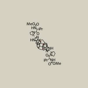 COC(=O)NC(C(=O)N1CCC[C@H]1c1nc2cc(-c3cc4ccc3CCc3ccc(c(-c5ccc6[nH]c([C@@H]7CCCN7C(=O)C(NC(=O)OC)C(C)C)nc6c5)c3)CC4)ccc2[nH]1)C(C)C